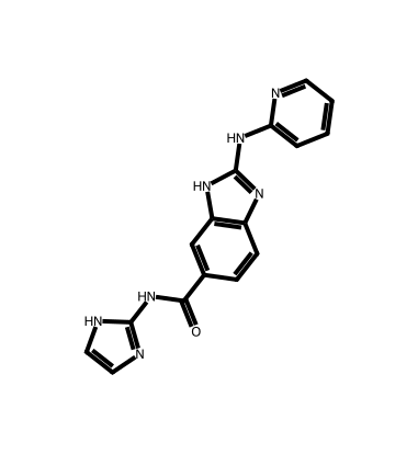 O=C(Nc1ncc[nH]1)c1ccc2nc(Nc3ccccn3)[nH]c2c1